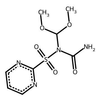 COC(OC)N(C(N)=O)S(=O)(=O)c1ncccn1